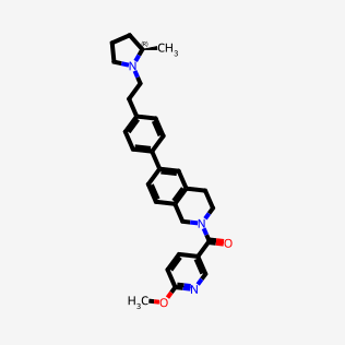 COc1ccc(C(=O)N2CCc3cc(-c4ccc(CCN5CCC[C@H]5C)cc4)ccc3C2)cn1